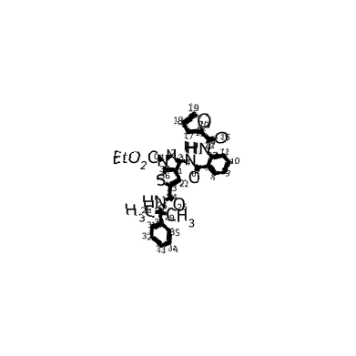 CCOC(=O)n1nc(NC(=O)c2ccccc2NC(=O)c2ccco2)c2cc(C(=O)NC(C)(C)c3ccccc3)sc21